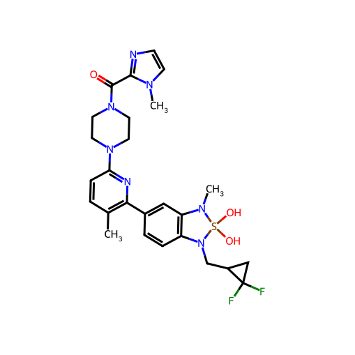 Cc1ccc(N2CCN(C(=O)c3nccn3C)CC2)nc1-c1ccc2c(c1)N(C)S(O)(O)N2CC1CC1(F)F